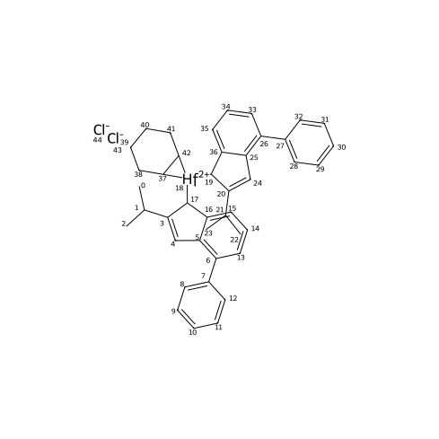 CC(C)C1=Cc2c(-c3ccccc3)cccc2[CH]1[Hf+2]1([CH]2C(C(C)C)=Cc3c(-c4ccccc4)cccc32)[CH]2CCCC[CH]21.[Cl-].[Cl-]